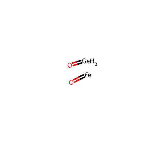 [O]=[Fe].[O]=[GeH2]